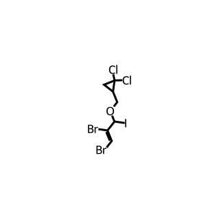 ClC1(Cl)CC1COC(I)C(Br)=CBr